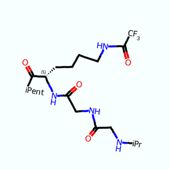 CCCC(C)C(=O)[C@H](CCCCNC(=O)C(F)(F)F)NC(=O)CNC(=O)CNC(C)C